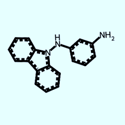 Nc1cccc(Nn2c3ccccc3c3ccccc32)c1